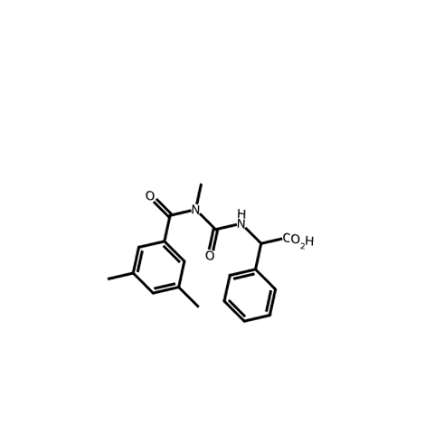 Cc1cc(C)cc(C(=O)N(C)C(=O)NC(C(=O)O)c2ccccc2)c1